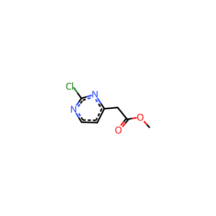 COC(=O)Cc1ccnc(Cl)n1